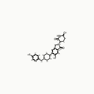 O=C1CCC(N2Cc3cc(C4CCN(Cc5ccc(F)cn5)CC4)c(F)cc3C2=O)C(=O)N1